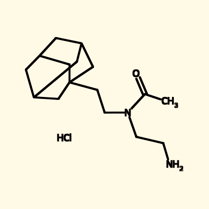 CC(=O)N(CCN)CCC12CC3CC(CC(C3)C1)C2.Cl